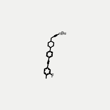 CCCCC#CCC1CCC(c2ccc(C#Cc3ccc(C)c(F)c3)cc2)CC1